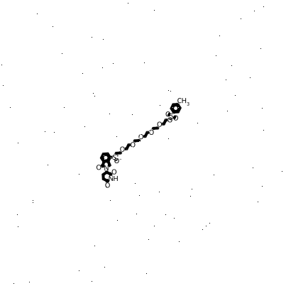 Cc1ccc(S(=O)(=O)OCCOCCOCCOCCOCCOCC[S+]([O-])c2cccc3c2CN(C2CCC(=O)NC2=O)C3=O)cc1